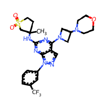 CC1(Nc2nc(N3CC(N4CCOCC4)C3)c3cnn(-c4cccc(C(F)(F)F)c4)c3n2)CCS(=O)(=O)C1